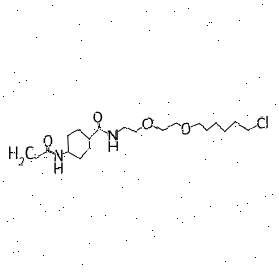 C=CC(=O)NC1CCC(C(=O)NCCOCCOCCCCCCCl)CC1